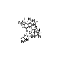 Cc1ccc(NC(=O)[C@@H]2C[C@H]3C[C@H]3N2C(=O)Cn2c3ncnc(N)c3c3cc(C(F)(F)F)cc(C)c32)nc1Br